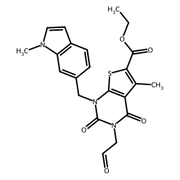 CCOC(=O)c1sc2c(c1C)c(=O)n(CC=O)c(=O)n2Cc1ccc2ccn(C)c2c1